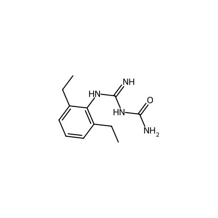 CCc1cccc(CC)c1NC(=N)NC(N)=O